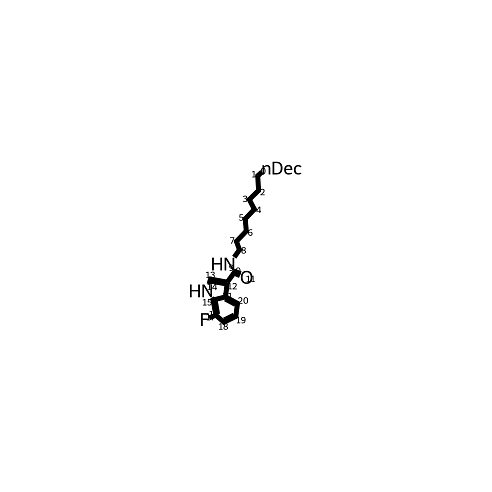 CCCCCCCCCCCCCCCCCCNC(=O)c1c[nH]c2c(F)cccc12